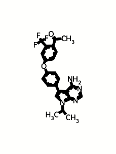 CC(=O)c1ccc(Oc2ccc(-c3cn(C(C)C)c4ncnc(N)c34)cc2)cc1C(F)(F)F